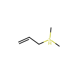 C=CC[SH](C)C